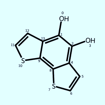 Oc1c(O)c2ccsc2c2sccc12